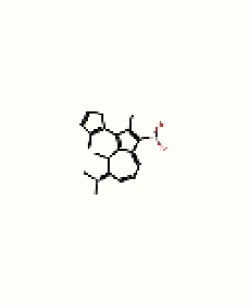 CC1=C(C2=C3C(=CC=CC(=[Si](C)C)C3C)[C]([Hf]([Br])[Br])=C2C)CC=C1